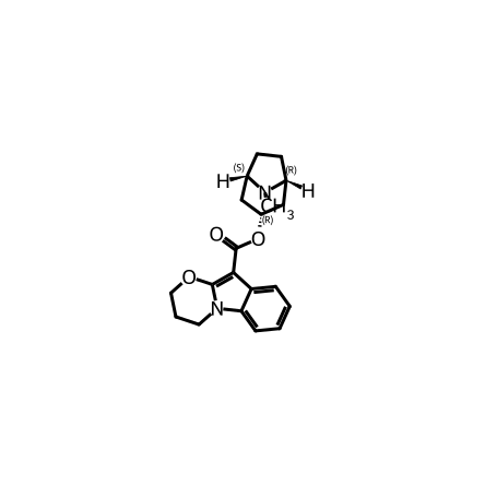 CN1[C@@H]2CC[C@H]1C[C@@H](OC(=O)c1c3n(c4ccccc14)CCCO3)C2